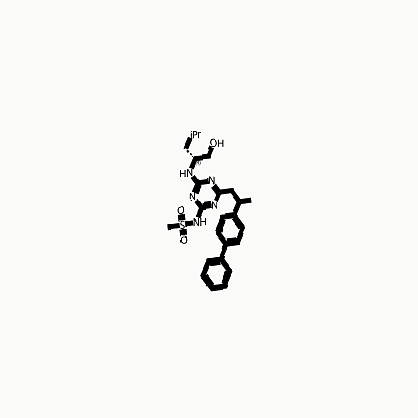 CC(C)C[C@H](CO)Nc1nc(CC(C)c2ccc(-c3ccccc3)cc2)nc(NS(C)(=O)=O)n1